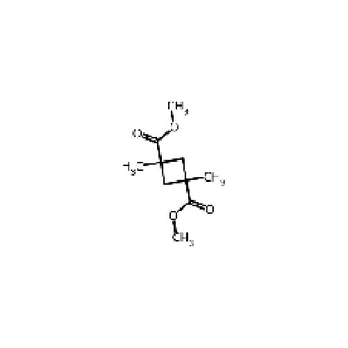 COC(=O)C1(C)CC(C)(C(=O)OC)C1